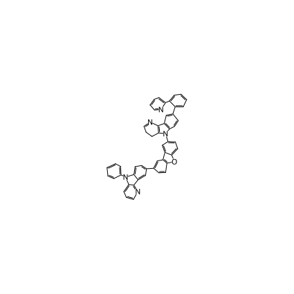 C1=Nc2c(n(-c3ccc4oc5ccc(-c6ccc7c(c6)c6ncccc6n7-c6ccccc6)cc5c4c3)c3ccc(-c4ccccc4-c4ccccn4)cc23)CC1